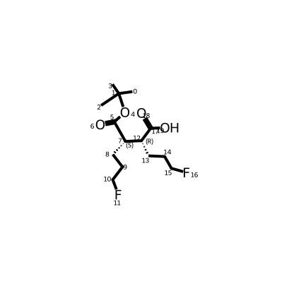 CC(C)(C)OC(=O)[C@@H](CCCF)[C@@H](CCCF)C(=O)O